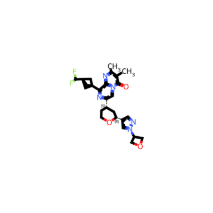 Cc1nc2c(C34CC(C(F)F)(C3)C4)nc([C@H]3CCO[C@@H](c4cnn(C5COC5)c4)C3)cn2c(=O)c1C